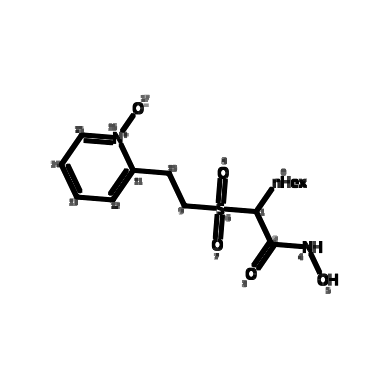 CCCCCCC(C(=O)NO)S(=O)(=O)CCc1cccc[n+]1[O-]